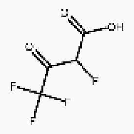 O=C(O)C(F)C(=O)C(F)(F)F